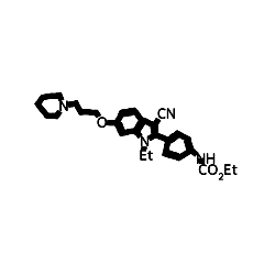 CCOC(=O)Nc1ccc(-c2c(C#N)c3ccc(OCCCN4CCCCC4)cc3n2CC)cc1